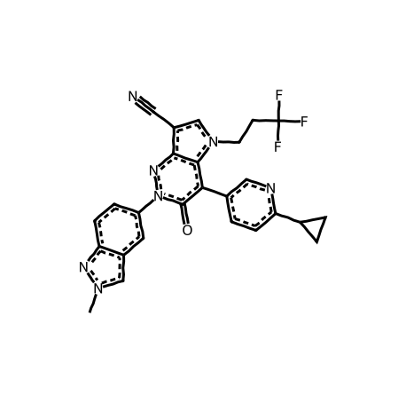 Cn1cc2cc(-n3nc4c(C#N)cn(CCC(F)(F)F)c4c(-c4ccc(C5CC5)nc4)c3=O)ccc2n1